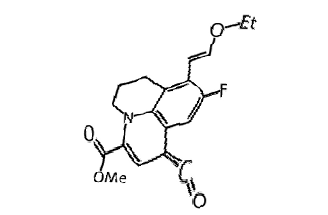 CCO/C=C/c1c(F)cc2c3c1CCCN3C(C(=O)OC)=CC2=C=O